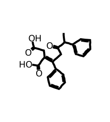 CC(C(=O)CC(=C(CC(=O)O)C(=O)O)c1ccccc1)c1ccccc1